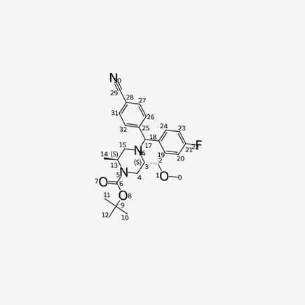 COC[C@@H]1CN(C(=O)OC(C)(C)C)[C@@H](C)CN1C(c1ccc(F)cc1)c1ccc(C#N)cc1